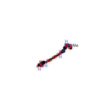 COc1cccc(F)c1-c1ncc2[nH]nc(-c3ccc(N4CCN(CC(=O)NCCOCCOCCOCCOCCOCCNc5ccc6c(c5)C(=O)N(C5CCC(=O)NC5=O)C6=O)CC4)cc3)c2n1